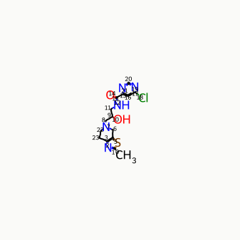 Cc1nc2c(s1)CN(CC(O)CNC(=O)c1cc(Cl)ncn1)CC2